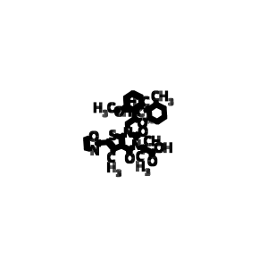 COc1ccccc1C(Cn1c(=O)n(C(C)(C)C(=O)O)c(=O)c2c(C)c(-c3ncco3)sc21)O[C@H]1CCCC(C)C1(C)C